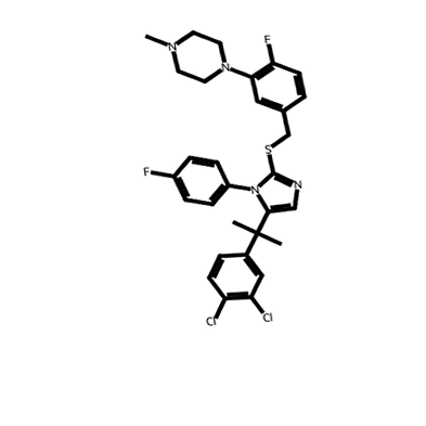 CN1CCN(c2cc(CSc3ncc(C(C)(C)c4ccc(Cl)c(Cl)c4)n3-c3ccc(F)cc3)ccc2F)CC1